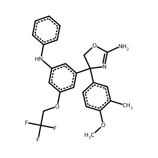 COc1ccc(C2(c3cc(Nc4ccccc4)cc(OCC(F)(F)F)c3)COC(N)=N2)cc1C